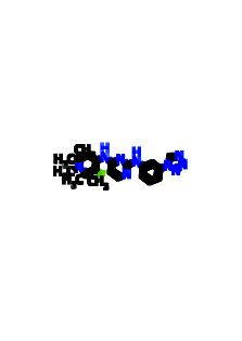 CN1C(C)(C)CC(Nc2ccnc(Nc3cccc(-n4cnnn4)c3)n2)C(F)C1(C)C